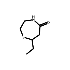 CCC1CC(=O)NCCS1